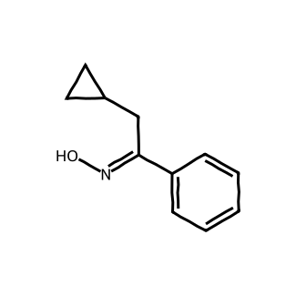 ON=C(CC1CC1)c1ccccc1